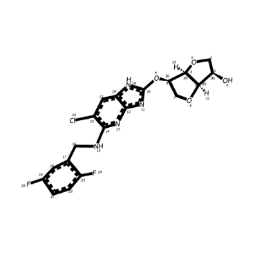 O[C@@H]1CO[C@H]2[C@@H]1OC[C@H]2Oc1nc2nc(NCc3cc(F)ccc3F)c(Cl)cc2[nH]1